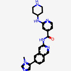 Cn1cncc1-c1ccc2cnc(NC(=O)c3ccnc(NC4CCNCC4)c3)cc2c1